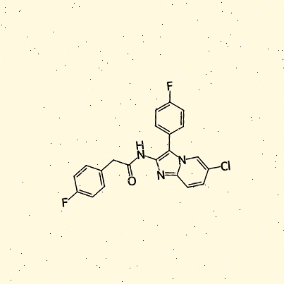 O=C(Cc1ccc(F)cc1)Nc1nc2ccc(Cl)cn2c1-c1ccc(F)cc1